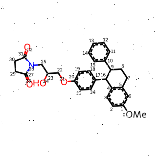 COc1ccc2c(c1)CCC(c1ccccc1)C2c1ccc(OCC(O)CN2C(=O)CCC2=O)cc1